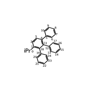 CC(C)c1[c]cc(-c2ccccc2)c(-c2ccccc2)c1-c1ccccc1